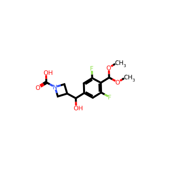 COC(OC)c1c(F)cc(C(O)C2CN(C(=O)O)C2)cc1F